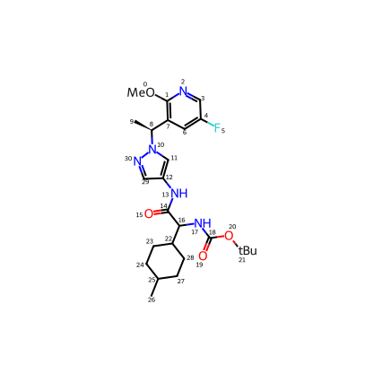 COc1ncc(F)cc1[C@H](C)n1cc(NC(=O)C(NC(=O)OC(C)(C)C)C2CCC(C)CC2)cn1